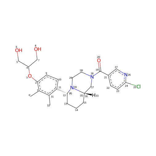 Cc1c(OC(CO)CO)ccc([C@H]2CCC[C@H]3CN(C(=O)c4ccc(Cl)nc4)CCN32)c1C